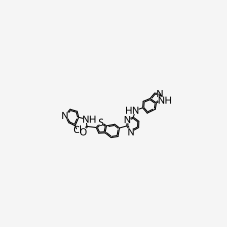 O=C(Nc1ccncc1Cl)c1cc2ccc(-c3nccc(Nc4ccc5[nH]ncc5c4)n3)cc2s1